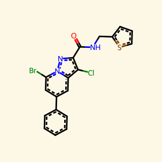 O=C(NCc1cccs1)c1nn2c(Br)cc(-c3ccccc3)cc2c1Cl